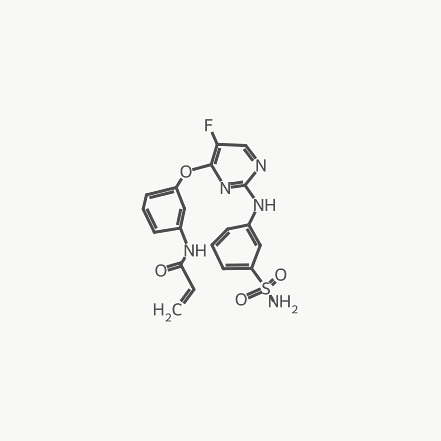 C=CC(=O)Nc1cccc(Oc2nc(Nc3cccc(S(N)(=O)=O)c3)ncc2F)c1